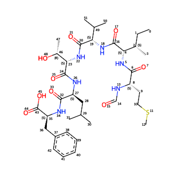 CC[C@H](C)[C@H](NC(=O)[C@H](CCSC)NC=O)C(=O)N[C@H](C(=O)N[C@H](C(=O)N[C@@H](CC(C)C)C(=O)N[C@@H](Cc1ccccc1)C(=O)O)[C@@H](C)O)C(C)C